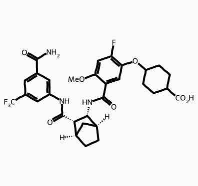 COc1cc(F)c(OC2CCC(C(=O)O)CC2)cc1C(=O)N[C@@H]1[C@H]2CC[C@H](C2)[C@@H]1C(=O)Nc1cc(C(N)=O)cc(C(F)(F)F)c1